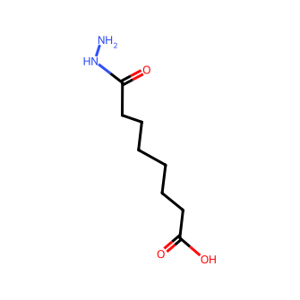 NNC(=O)CCCCCCC(=O)O